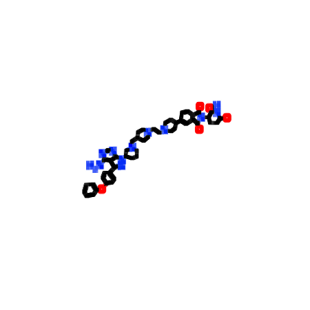 Nc1ncnc2c1c(-c1ccc(Oc3ccccc3)cc1)nn2[C@@H]1CCCN(CC2CCN(CCN3CCC(c4ccc5c(c4)C(=O)N(C4CCC(=O)NC4=O)C5=O)CC3)CC2)C1